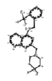 FC1(F)CCN(Cc2nc(NCc3ccccc3C(F)(F)F)c3cccnc3n2)CC1